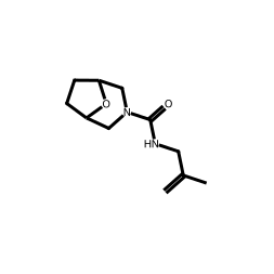 C=C(C)CNC(=O)N1CC2CCC(C1)O2